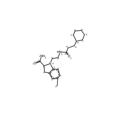 NC(=O)C1Cc2cc(F)ccc2N1CCNC(=O)[CH]CC1CCCCC1